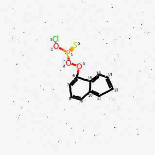 S=[P](OCl)OOc1cccc2ccccc12